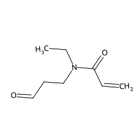 C=CC(=O)N(CC)CCC=O